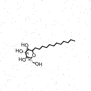 CCCCCCCCCCCC[C]1O[C@H](CO)[C@H](O)[C@H](O)[C@H]1O